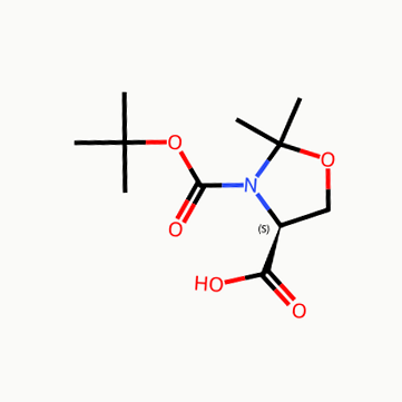 CC(C)(C)OC(=O)N1[C@H](C(=O)O)COC1(C)C